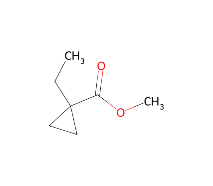 CCC1(C(=O)OC)CC1